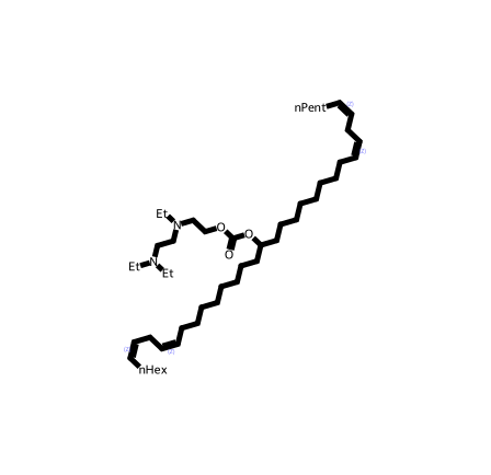 CCCCC/C=C\C/C=C\CCCCCCCCC(CCCCCCCC/C=C\C/C=C\CCCCCC)OC(=O)OCCN(CC)CCN(CC)CC